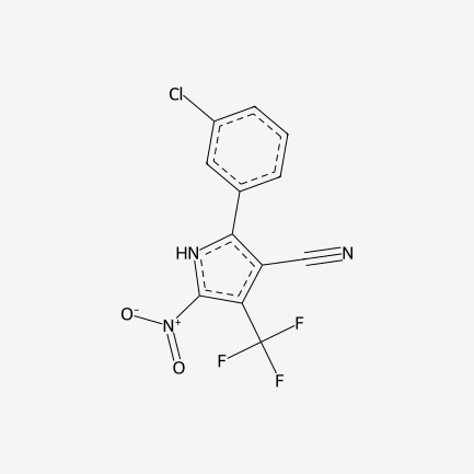 N#Cc1c(-c2cccc(Cl)c2)[nH]c([N+](=O)[O-])c1C(F)(F)F